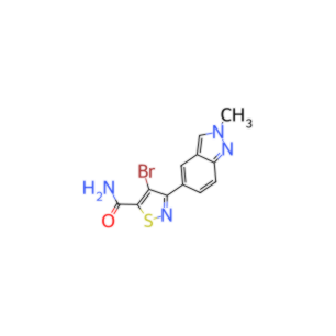 Cn1cc2cc(-c3nsc(C(N)=O)c3Br)ccc2n1